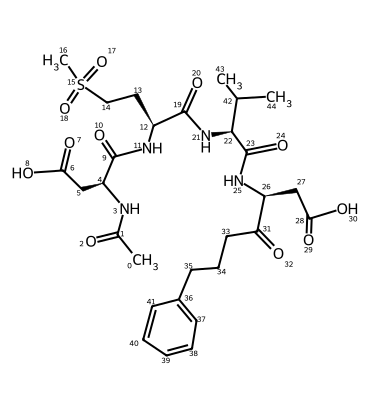 CC(=O)N[C@@H](CC(=O)O)C(=O)N[C@@H](CCS(C)(=O)=O)C(=O)N[C@H](C(=O)N[C@@H](CC(=O)O)C(=O)CCCc1ccccc1)C(C)C